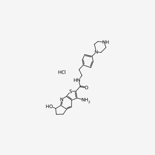 Cl.Nc1c(C(=O)NCCc2ccc(N3CCNCC3)cc2)sc2nc3c(cc12)CCC3O